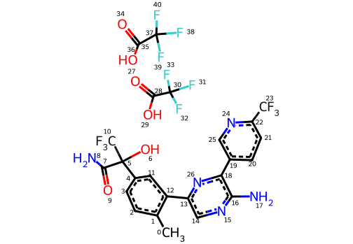 Cc1ccc(C(O)(C(N)=O)C(F)(F)F)cc1-c1cnc(N)c(-c2ccc(C(F)(F)F)nc2)n1.O=C(O)C(F)(F)F.O=C(O)C(F)(F)F